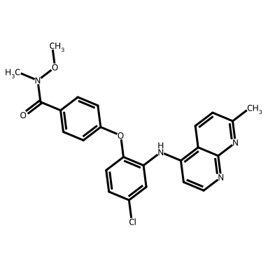 CON(C)C(=O)c1ccc(Oc2ccc(Cl)cc2Nc2ccnc3nc(C)ccc23)cc1